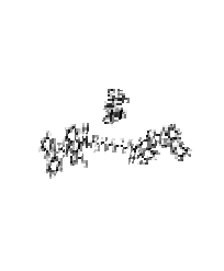 Cc1cc(NCCCCCCCCCCNc2cc(C)[n+](CCC(c3ccccc3)c3ccccc3)c3ccccc23)c2ccccc2[n+]1CCC(c1ccccc1)c1ccccc1.O=C([O-])C(F)(F)F.O=C([O-])C(F)(F)F